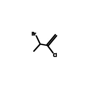 C=C(Cl)C(C)Br